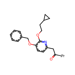 CC(C)C(=O)Cc1ccc(OCc2ccccc2)c(OCCC2CC2)n1